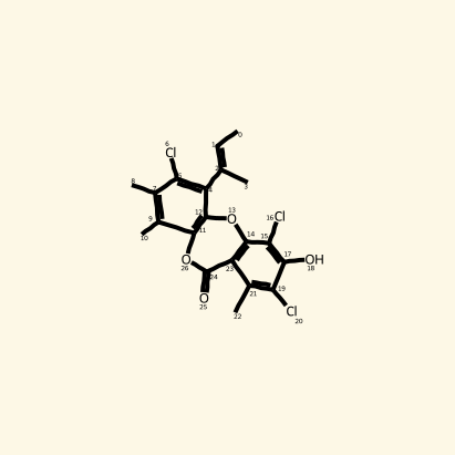 C/C=C(\C)c1c(Cl)c(C)c(C)c2c1Oc1c(Cl)c(O)c(Cl)c(C)c1C(=O)O2